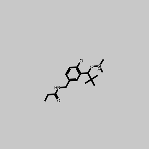 CCC(=O)NCc1ccc(Cl)c(C(O[SiH](C)C)C(C)(C)C)c1